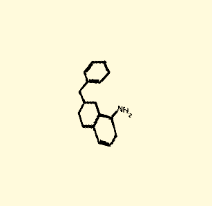 NC1CC=CC2CCC(CC3=CCCC=C3)CC12